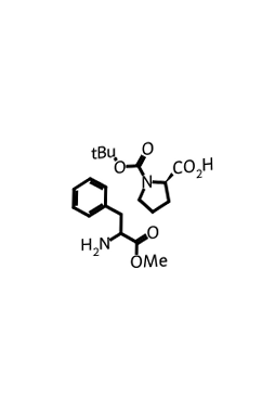 CC(C)(C)OC(=O)N1CCC[C@@H]1C(=O)O.COC(=O)C(N)Cc1ccccc1